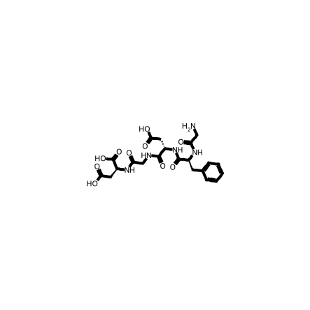 NCC(=O)N[C@@H](Cc1ccccc1)C(=O)N[C@@H](CC(=O)O)C(=O)NCC(=O)N[C@@H](CC(=O)O)C(=O)O